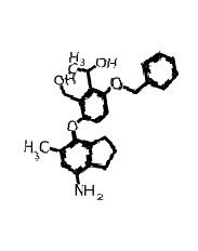 Cc1cc(N)c2c(c1Oc1ccc(OCc3ccccc3)c(C(C)O)c1CO)CCC2